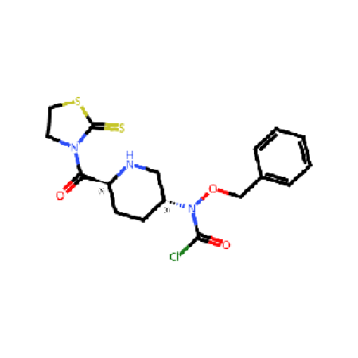 O=C([C@@H]1CC[C@@H](N(OCc2ccccc2)C(=O)Cl)CN1)N1CCSC1=S